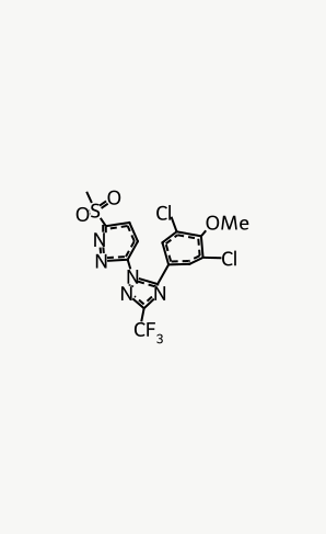 COc1c(Cl)cc(-c2nc(C(F)(F)F)nn2-c2ccc(S(C)(=O)=O)nn2)cc1Cl